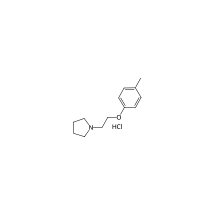 Cc1ccc(OCCN2CCCC2)cc1.Cl